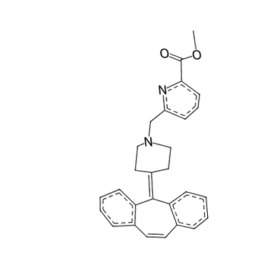 COC(=O)c1cccc(CN2CCC(=C3c4ccccc4C=Cc4ccccc43)CC2)n1